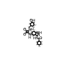 O=C(Nc1n[nH]c2ccc(Nc3c(NCc4cccc(O)c4)c(=O)c3=O)cc12)c1ccccc1